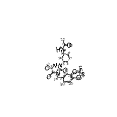 COc1nn(-c2cccc(NC(C)=O)c2)c(=O)n(Cc2ccc3c(c2)OC(F)(F)O3)c1=O